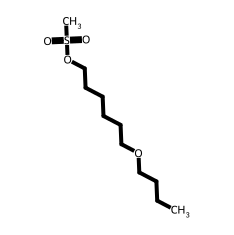 CCCCOCCCCCCOS(C)(=O)=O